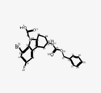 O=C(O)Cn1c2c(c3cc(F)cc(Br)c31)C[C@H](NC(=O)OCc1ccccc1)CC2